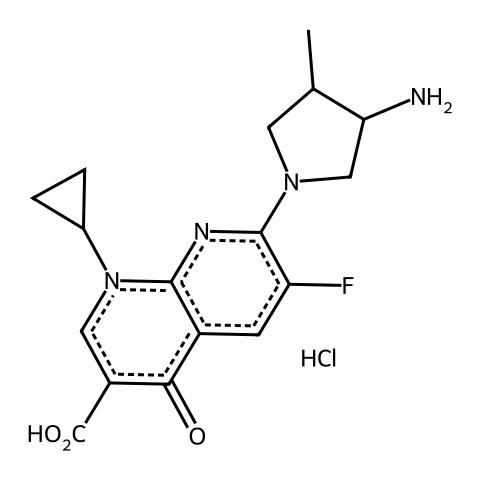 CC1CN(c2nc3c(cc2F)c(=O)c(C(=O)O)cn3C2CC2)CC1N.Cl